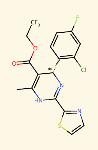 CC1=C(C(=O)OCC(F)(F)F)[C@H](c2ccc(F)cc2Cl)N=C(c2nccs2)N1